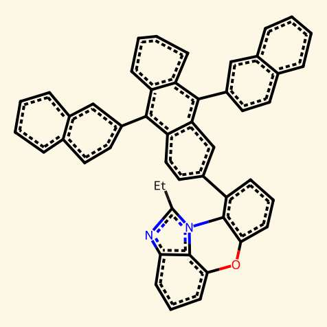 CCc1nc2cccc3c2n1-c1c(cccc1-c1ccc2c(-c4ccc5ccccc5c4)c4ccccc4c(-c4ccc5ccccc5c4)c2c1)O3